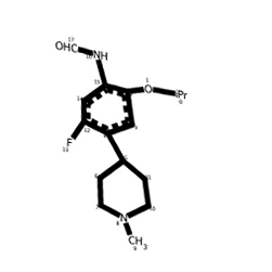 CC(C)Oc1cc(C2CCN(C)CC2)c(F)cc1NC=O